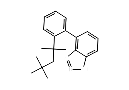 CC(C)(C)CC(C)(C)c1ccccc1-c1cccc2[nH]nnc12